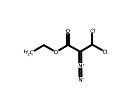 CCOC(=O)C(=[N+]=[N-])C(Cl)Cl